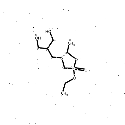 CCOP(=O)(CSCC(CO)CO)OCC